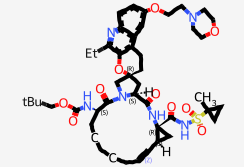 CCc1nc2ccc(OCCN3CCOCC3)cc2c2c1O[C@]1(CC2)C[C@H]2C(=O)N[C@]3(C(=O)NS(=O)(=O)C4(C)CC4)C[C@H]3/C=C\CCCCC[C@H](NC(=O)OCC(C)(C)C)C(=O)N2C1